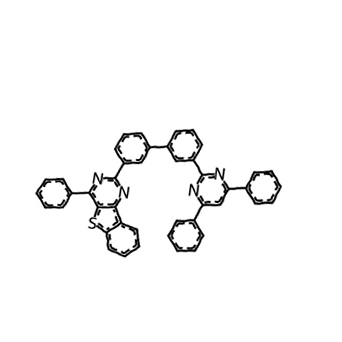 c1ccc(-c2cc(-c3ccccc3)nc(-c3cccc(-c4cccc(-c5nc(-c6ccccc6)c6sc7ccccc7c6n5)c4)c3)n2)cc1